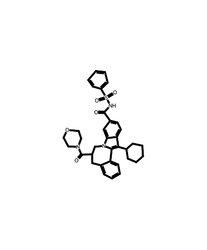 O=C(NS(=O)(=O)c1ccccc1)c1ccc2c(C3CCCCC3)c3n(c2c1)CC(C(=O)N1CCOCC1)Cc1ccccc1-3